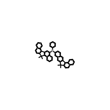 CC1(C)c2cc3cc(N(c4ccccc4)c4cc5c(c6ccccc46)C(C)(C)c4ccc6ccccc6c4-5)ccc3cc2-c2c1ccc1ccccc21